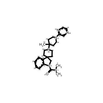 CN(C)C(=O)N1CC2(CCN(C3(C)CCN(c4cnccn4)CC3)CC2)c2ccccc21